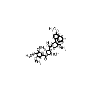 COc1ccc(C2CN(C(C)C3CCN(C(=O)c4cc(OC)c(OC)c(OC)c4)C3)CCC2(C(N)=O)c2ccccc2)cc1.Cl